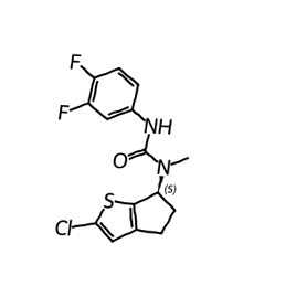 CN(C(=O)Nc1ccc(F)c(F)c1)[C@H]1CCc2cc(Cl)sc21